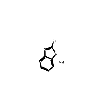 Clc1nc2ccccc2o1.[NaH]